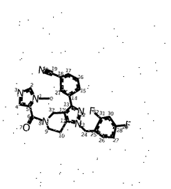 Cn1cncc1C(=O)N1CCc2c(c(-c3cccc(C#N)c3)nn2Cc2ccc(F)cc2F)C1